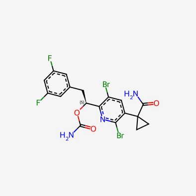 NC(=O)O[C@@H](Cc1cc(F)cc(F)c1)c1nc(Br)c(C2(C(N)=O)CC2)cc1Br